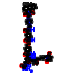 COc1ccc2c3c(c4ccccc4cc13)C(=O)N(CCN1CCN(CCNC(=O)c3ccc(NC(=O)OCc4ccc(NC(=O)[C@H](CCCNC(N)=O)NC(=O)C(NC(=O)CCCCCN5C(=O)CCC5=O)C(C)C)cc4)cc3)CC1)C2=O